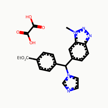 CCOC(=O)c1ccc(C(c2ccc3nnn(C)c3c2)n2ccnc2)cc1.O=C(O)C(=O)O